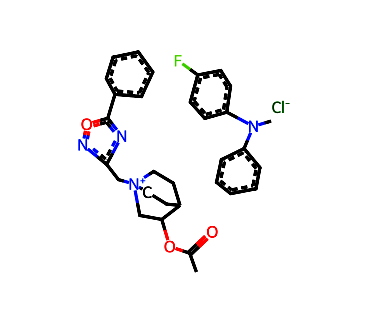 CC(=O)OC1C[N+]2(Cc3noc(-c4ccccc4)n3)CCC1CC2.CN(c1ccccc1)c1ccc(F)cc1.[Cl-]